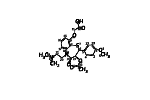 COc1ccc([C@@H]2Sc3c(OCC(=O)O)cccc3N(CCN(C)C)C(=O)[C@@H]2OC(C)=O)cc1